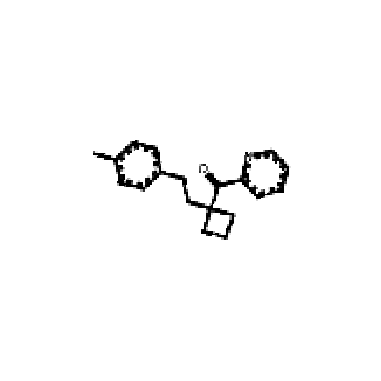 Cc1ccc(CCC2(C(=O)c3ccccn3)CCC2)cc1